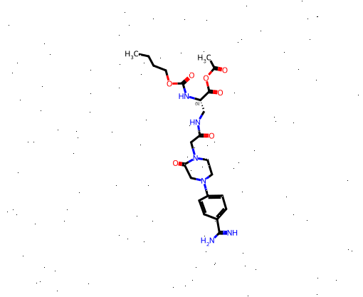 CCCCOC(=O)N[C@@H](CNC(=O)CN1CCN(c2ccc(C(=N)N)cc2)CC1=O)C(=O)OC(C)=O